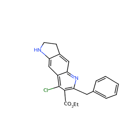 CCOC(=O)c1c(Cc2ccccc2)nc2cc3c(cc2c1Cl)NCC3